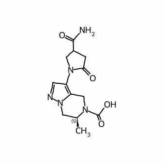 C[C@H]1Cn2ncc(N3CC(C(N)=O)CC3=O)c2CN1C(=O)O